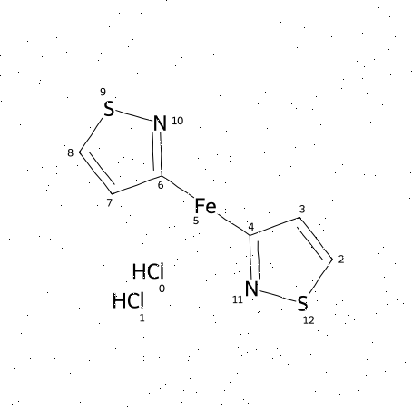 Cl.Cl.c1c[c]([Fe][c]2ccsn2)ns1